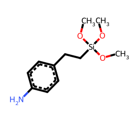 CO[Si](CCc1ccc(N)cc1)(OC)OC